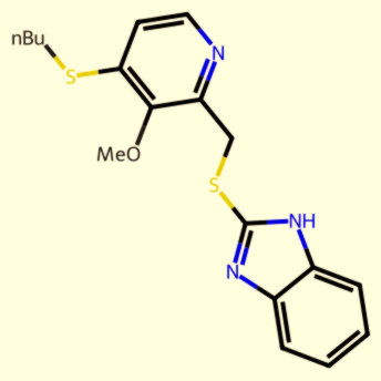 CCCCSc1ccnc(CSc2nc3ccccc3[nH]2)c1OC